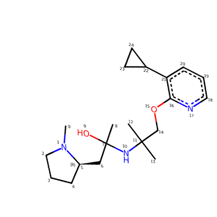 CN1CCC[C@@H]1CC(C)(O)NC(C)(C)COc1ncccc1C1CC1